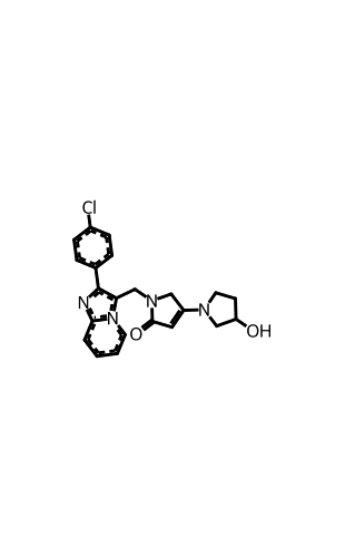 O=C1C=C(N2CCC(O)C2)CN1Cc1c(-c2ccc(Cl)cc2)nc2ccccn12